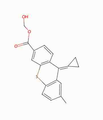 Cc1ccc2c(c1)C(=C1CC1)c1ccc(C(=O)OCO)cc1S2